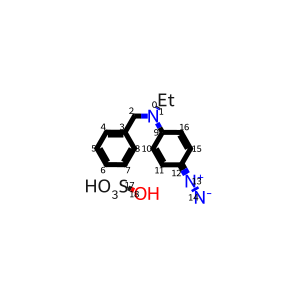 CCN(Cc1ccccc1)C1C=CC(=[N+]=[N-])C=C1.O=S(=O)(O)O